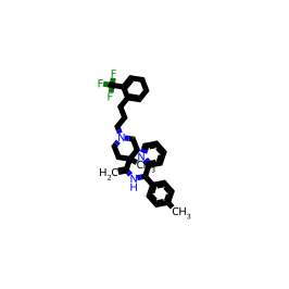 C=C(NC(c1ccc(C)cc1)c1ccccn1)C1(C)CCN(CCCC2=CCCC=C2C(F)(F)F)CC1